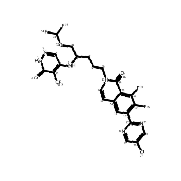 O=c1[nH]ncc(NC(CCCn2ccc3cc(-c4ncc(Cl)cn4)c(F)c(F)c3c2=O)COC(F)F)c1C(F)(F)F